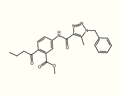 CCCC(=O)c1ccc(NC(=O)c2nnn(Cc3ccccc3)c2C)cc1C(=O)OC